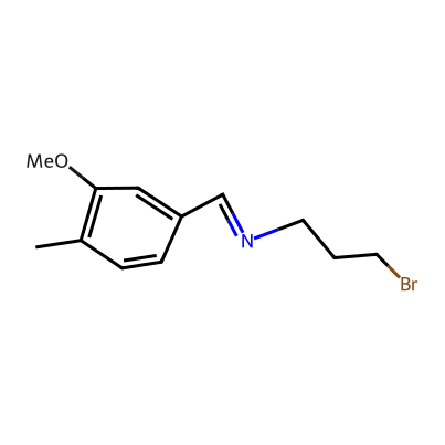 COc1cc(/C=N/CCCBr)ccc1C